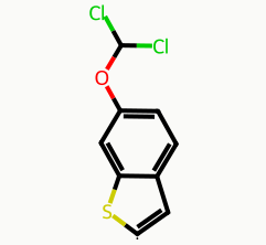 ClC(Cl)Oc1ccc2c[c]sc2c1